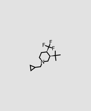 CC(C)(C)[C@H]1CN(CC2CC2)CC[C@H]1C(F)(F)F